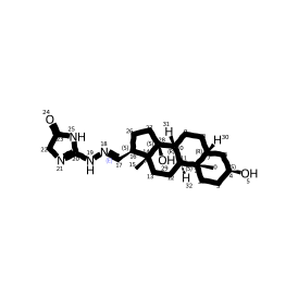 C[C@]12CC[C@H](O)C[C@H]1CC[C@@H]1[C@@H]2CC[C@]2(C)[C@@H](/C=N/NC3=NCC(=O)N3)CC[C@]12O